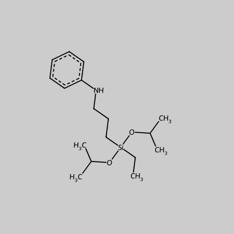 CC[Si](CCCNc1ccccc1)(OC(C)C)OC(C)C